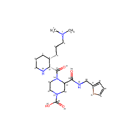 CN(C)CCC[C@H]1CCCN[C@H]1C(=O)N1CCN(C(=O)O)CC1C(=O)NCc1cccs1